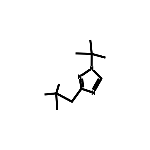 CC(C)(C)Cc1ncn(C(C)(C)C)n1